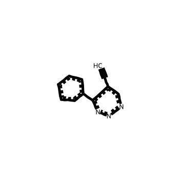 C#Cc1cnnnc1-c1ccccc1